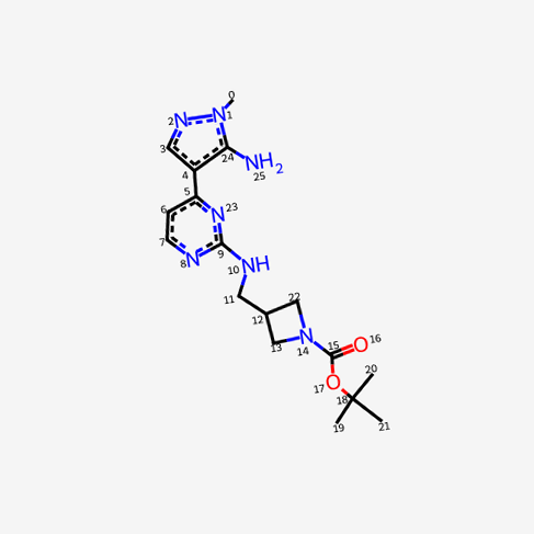 Cn1ncc(-c2ccnc(NCC3CN(C(=O)OC(C)(C)C)C3)n2)c1N